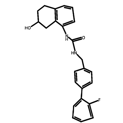 O=C(NCc1ccc(-c2ccccc2F)cc1)Nc1cccc2c1CC(O)CC2